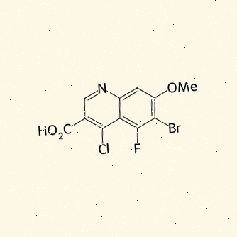 COc1cc2ncc(C(=O)O)c(Cl)c2c(F)c1Br